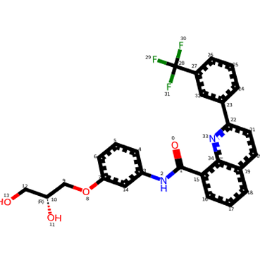 O=C(Nc1cccc(OC[C@H](O)CO)c1)c1cccc2ccc(-c3cccc(C(F)(F)F)c3)nc12